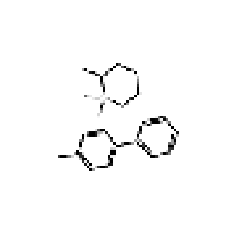 CC1CCCC[Si]1(C)C.Cc1ccc(-c2ccccc2)cc1